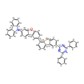 c1ccc(-c2nc(-c3ccccc3)nc(-c3ccc4sc5c(-c6ccc7oc8cc(-n9c%10ccccc%10c%10ccccc%109)ccc8c7c6)cccc5c4c3)n2)cc1